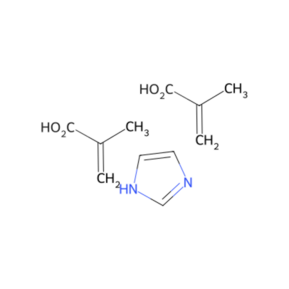 C=C(C)C(=O)O.C=C(C)C(=O)O.c1c[nH]cn1